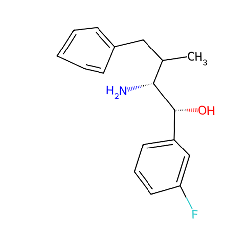 CC(Cc1ccccc1)[C@@H](N)[C@H](O)c1cccc(F)c1